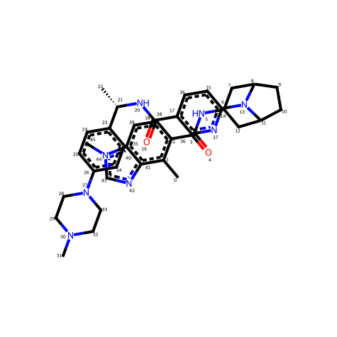 Cc1c(C(=O)NC2CC3CCC(C2)N3c2ccc(C(=O)N[C@@H](C)c3ccc(N4CCN(C)CC4)cc3)cn2)ccc2c1ncn2C